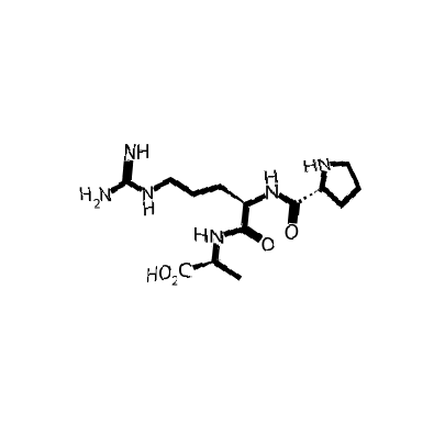 C[C@H](NC(=O)[C@@H](CCCNC(=N)N)NC(=O)[C@H]1CCCN1)C(=O)O